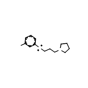 O=S(=O)(CCCN1CCCC1)c1cccc(Br)c1